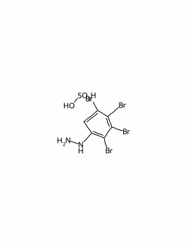 NNc1cc(Br)c(Br)c(Br)c1Br.O=S(=O)(O)O